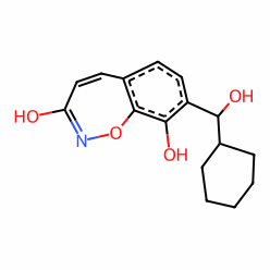 OC1=NOc2c(ccc(C(O)C3CCCCC3)c2O)C=C1